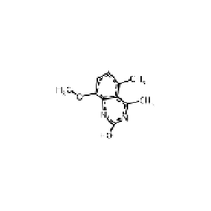 COc1ccc(C)c2c(C)nc(O)nc12